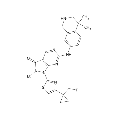 CCn1c(=O)c2cnc(Nc3ccc4c(c3)CNCC4(C)C)nc2n1-c1nc(C2(CF)CC2)cs1